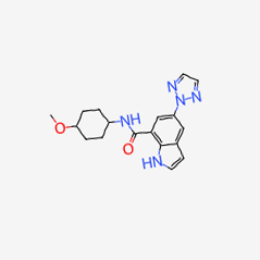 COC1CCC(NC(=O)c2cc(-n3nccn3)cc3cc[nH]c23)CC1